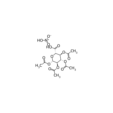 CC(=O)O[C@@H]1O[C@H](C(=O)O)[C@@H](OC(C)=O)[C@H](OC(C)=O)[C@H]1OC(C)=O.O=[N+]([O-])O